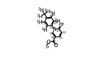 [2H]c1c([2H])c(C([2H])([2H])[2H])c([2H])c([2H])c1-n1cc(C(=O)OC)ccc1=O